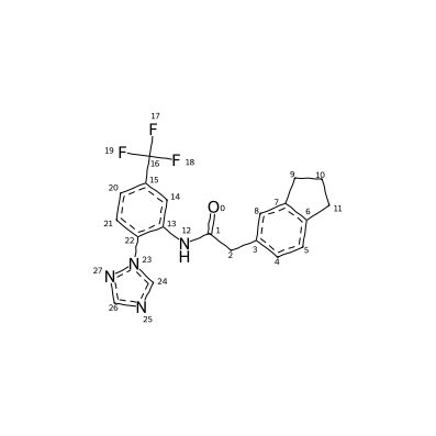 O=C(Cc1ccc2c(c1)CCC2)Nc1cc(C(F)(F)F)ccc1-n1cncn1